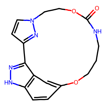 O=C1NCCCOc2ccc3[nH]nc(c3c2)-c2ccn(n2)CCO1